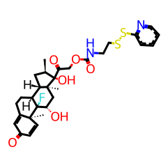 C[C@@H]1C[C@H]2[C@@H]3CCC4=CC(=O)C=C[C@]4(C)[C@@]3(F)[C@@H](O)C[C@]2(C)[C@@]1(O)C(=O)COC(=O)NCCSSc1ccccn1